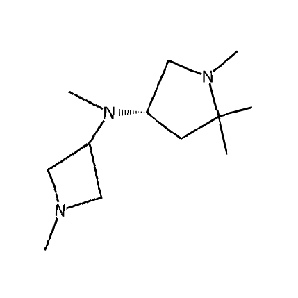 CN1CC(N(C)[C@@H]2CN(C)C(C)(C)C2)C1